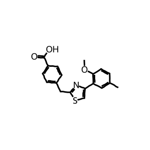 COc1ccc(C)cc1-c1csc(Cc2ccc(C(=O)O)cc2)n1